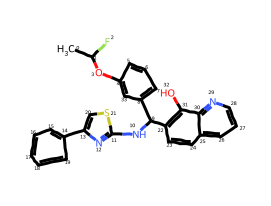 CC(F)Oc1cccc(C(Nc2nc(-c3ccccc3)cs2)c2ccc3cccnc3c2O)c1